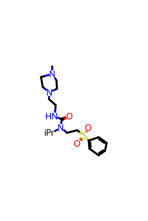 CC(C)N(CCS(=O)(=O)c1ccccc1)C(=O)NCCN1CCN(C)CC1